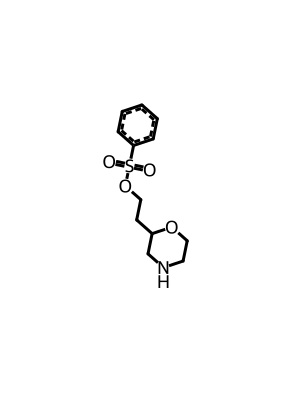 O=S(=O)(OCCC1CNCCO1)c1ccccc1